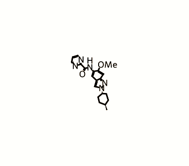 COc1cc2nn([C@H]3CC[C@H](C)CC3)cc2cc1NC(=O)c1ncccn1